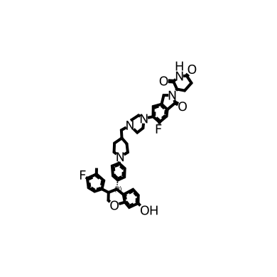 Cc1cc(C2COc3cc(O)ccc3[C@H]2c2ccc(N3CCC(CN4CCN(c5cc6c(cc5F)C(=O)N(C5CCC(=O)NC5=O)C6)CC4)CC3)cc2)ccc1F